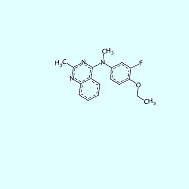 CCOc1ccc(N(C)c2nc(C)nc3ccccc23)cc1F